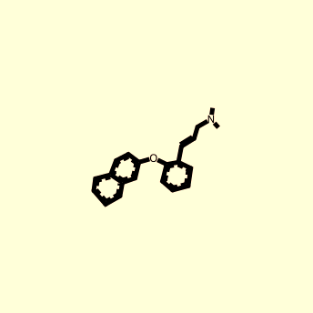 CN(C)CC=Cc1ccccc1Oc1ccc2ccccc2c1